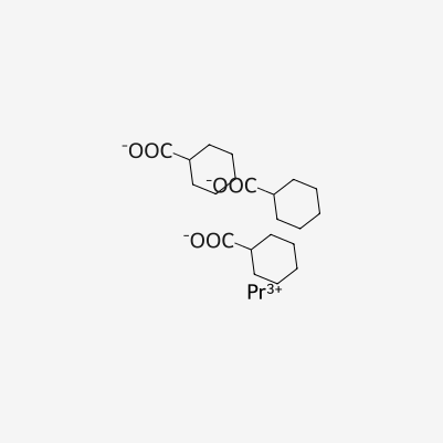 O=C([O-])C1CCCCC1.O=C([O-])C1CCCCC1.O=C([O-])C1CCCCC1.[Pr+3]